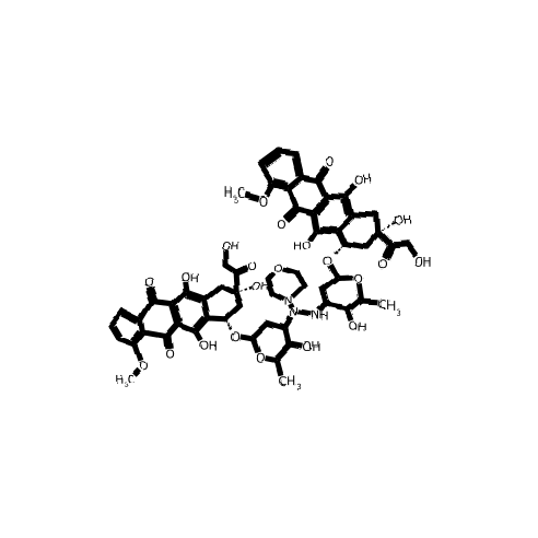 COc1cccc2c1C(=O)c1c(O)c3c(c(O)c1C2=O)C[C@@](O)(C(=O)CO)C[C@@H]3OC1CC(NN(C2CC(O[C@H]3C[C@](O)(C(=O)CO)Cc4c(O)c5c(c(O)c43)C(=O)c3c(OC)cccc3C5=O)OC(C)C2O)N2CCOCC2)C(O)C(C)O1